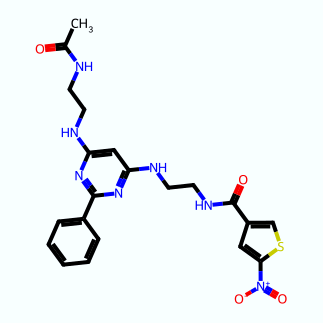 CC(=O)NCCNc1cc(NCCNC(=O)c2csc([N+](=O)[O-])c2)nc(-c2ccccc2)n1